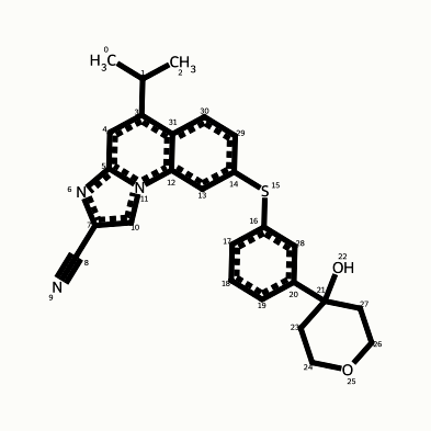 CC(C)c1cc2nc(C#N)cn2c2cc(Sc3cccc(C4(O)CCOCC4)c3)ccc12